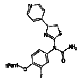 CCCCCOc1ccc(N(C(N)=O)c2nc(-c3ccncc3)cs2)cc1F